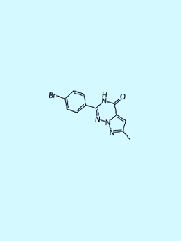 Cc1cc2c(=O)[nH]c(-c3ccc(Br)cc3)nn2n1